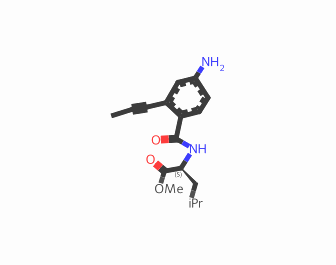 CC#Cc1cc(N)ccc1C(=O)N[C@@H](CC(C)C)C(=O)OC